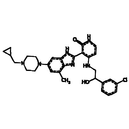 Cc1cc(N2CCN(CC3CC3)CC2)cc2[nH]c(-c3c(NCC(O)c4cccc(Cl)c4)cc[nH]c3=O)nc12